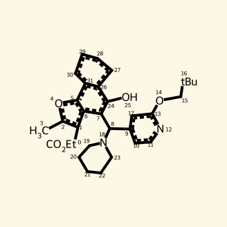 CCOC(=O)c1c(C)oc2c1c(C(c1ccnc(OCC(C)(C)C)c1)N1CCCCC1)c(O)c1ccccc12